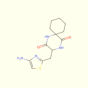 Nc1csc(CC2NC(=O)C3(CCCCC3)NC2=O)n1